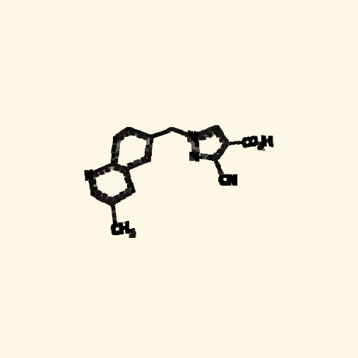 Cc1cnc2ccc(Cn3cc(C(=O)O)c(C#N)n3)cc2c1